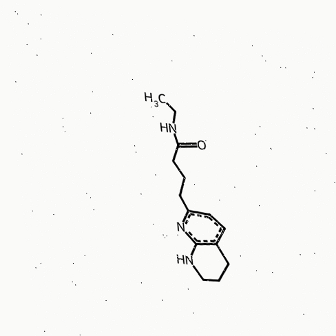 CCNC(=O)CCCc1ccc2c(n1)NCCC2